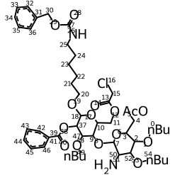 CCCCOC1C(COC(C)=O)OC(OC2C(COC(=O)CCl)OC(OCCCCCCNC(=O)OCc3ccccc3)C(OC(=O)c3ccccc3)C2OCCCC)C(N)C1OCCCC